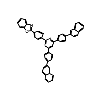 C1=CC2=CC=C(c3ccc(-c4cc(-c5ccc(-c6ccc7ccccc7c6)cc5)nc(-c5ccc(-c6nc7ccccc7o6)cc5)n4)cc3)CC2C=C1